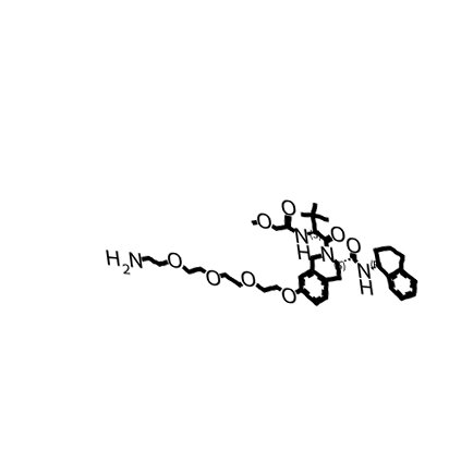 COCC(=O)N[C@H](C(=O)N1Cc2cc(OCCOCCOCCOCCN)ccc2C[C@H]1C(=O)N[C@@H]1CCCc2ccccc21)C(C)(C)C